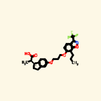 CCCc1c(OCCCOc2ccc3c(c2)CC[C@H]3C(C)C(=O)O)ccc2c(C(F)(F)F)noc12